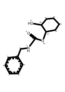 O=C(NCc1ccccc1)OC1CCCCC1O